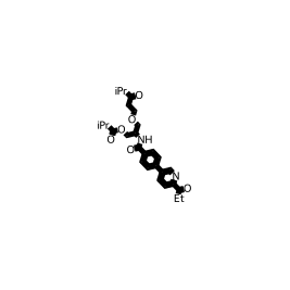 CCC(=O)c1ccc(-c2ccc(C(=O)NC(COCCC(=O)C(C)C)COC(=O)C(C)C)cc2)cn1